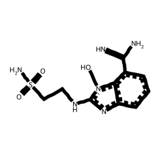 N=C(N)c1cccc2nc(NCCS(N)(=O)=O)n(O)c12